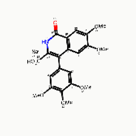 COc1cc2c(-c3cc(OC)c(OC)c(OC)c3)c(C(=O)O)[nH]c(=O)c2cc1OC.[Na]